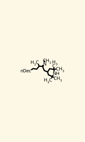 CCCCCCCCCCCCC(C)C(CC1CC(C)(C)NC(C)(C)C1)=NC